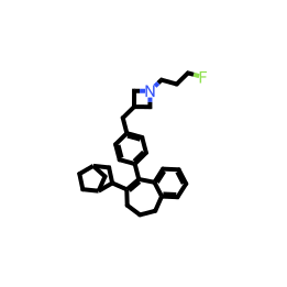 FCCCN1CC(Cc2ccc(C3=C(C4CC5CCC4C5)CCCc4ccccc43)cc2)C1